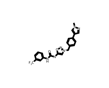 Cn1cc(-c2ccc(C[n+]3cc([N-]C(=O)Nc4cccc(C(F)(F)F)c4)on3)cc2)cn1